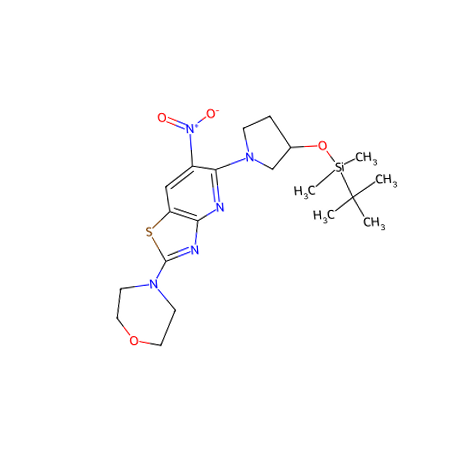 CC(C)(C)[Si](C)(C)OC1CCN(c2nc3nc(N4CCOCC4)sc3cc2[N+](=O)[O-])C1